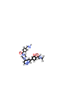 CN=CC1CCC(C(=O)N2CCN(c3ccnn4cc(-c5ccc(C6(O)CN(C(C)C)C6)cc5)cc34)CC2)CC1